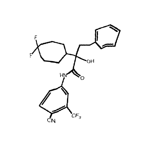 N#Cc1ccc(NC(=O)C(O)(Cc2ccccc2)C2CCC(F)(F)CC2)cc1C(F)(F)F